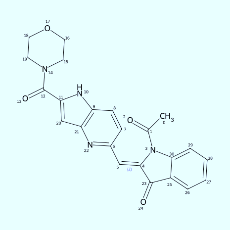 CC(=O)N1/C(=C\c2ccc3[nH]c(C(=O)N4CCOCC4)cc3n2)C(=O)c2ccccc21